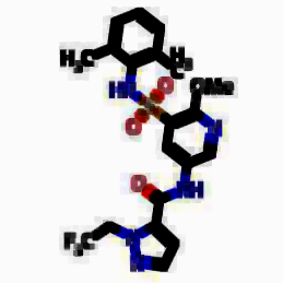 COc1ncc(NC(=O)c2ccnn2CC(F)(F)F)cc1S(=O)(=O)Nc1c(C)cccc1C